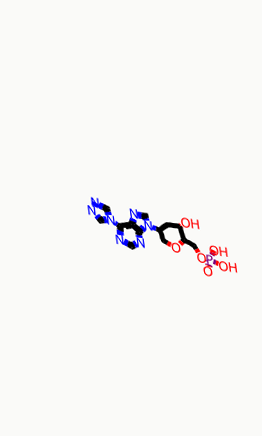 O=P(O)(O)OCC1OCC(n2cnc3c(-n4cnnc4)ncnc32)CC1O